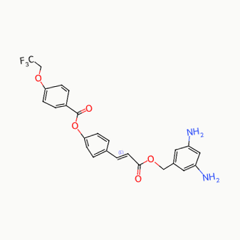 Nc1cc(N)cc(COC(=O)/C=C/c2ccc(OC(=O)c3ccc(OCC(F)(F)F)cc3)cc2)c1